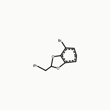 CC(C)CC1Oc2cccc(Br)c2O1